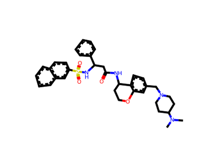 CN(C)C1CCN(Cc2ccc3c(c2)OCCC3NC(=O)CC(NS(=O)(=O)c2ccc3ccccc3c2)c2ccccc2)CC1